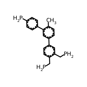 Cc1ccc(-c2ccc(CP)c(CP)c2)cc1-c1ccc(P)cc1